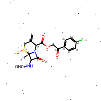 C=C1C[S+]([O-])[C@H]2C(NC=O)C(=O)N2C1C(=O)OCC(=O)c1ccc(Cl)cc1